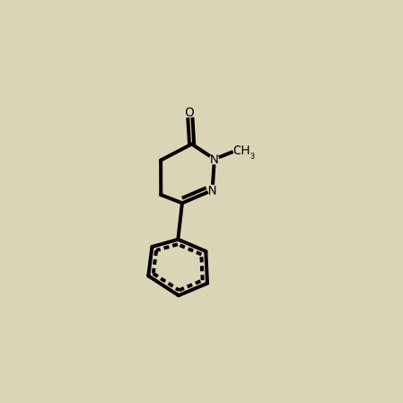 CN1N=C(c2ccccc2)CCC1=O